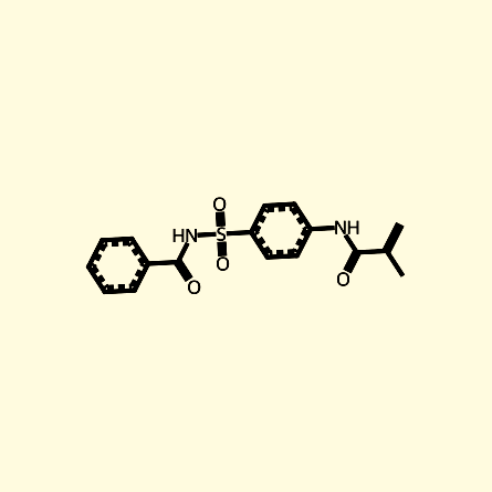 C=C(C)C(=O)Nc1ccc(S(=O)(=O)NC(=O)c2ccccc2)cc1